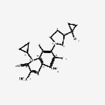 Cc1c(N2CCC(C3(N)CC3)C2)c(F)cc2cc(C(=O)O)c(=O)n(C3CC3)c12.Cl